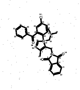 CC1=C(CN2C(=O)c3ccccc3C2=O)[N+](CN(C)C)(c2ccc(Cl)cc2C(=O)c2ccccc2)C=N1